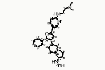 CN(C)CCNc1ncc(-c2cc(-c3ccc4c(c3)CCC4NO)c(-c3ccncc3)o2)cn1